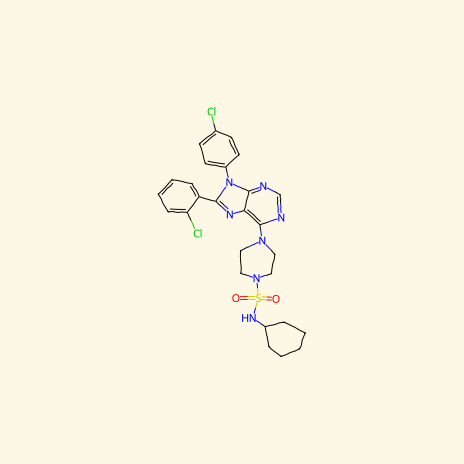 O=S(=O)(NC1CCCCC1)N1CCN(c2ncnc3c2nc(-c2ccccc2Cl)n3-c2ccc(Cl)cc2)CC1